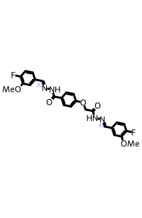 COc1cc(/C=N/NC(=O)COc2ccc(C(=O)N/N=C/c3ccc(F)c(OC)c3)cc2)ccc1F